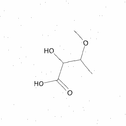 COC(C)C(O)C(=O)O